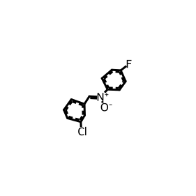 [O-][N+](=Cc1cccc(Cl)c1)c1ccc(F)cc1